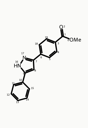 COC(=O)c1ccc(-c2cc(-c3ccccc3)[nH]n2)cc1